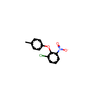 Cc1ccc(Oc2c(Cl)cccc2[N+](=O)[O-])cc1